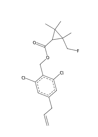 C=CCc1cc(Cl)c(COC(=O)C2C(C)(C)C2(C)CF)c(Cl)c1